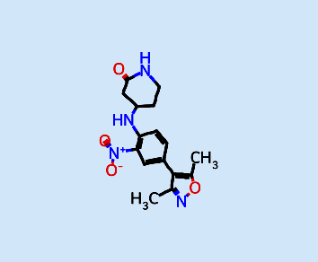 Cc1noc(C)c1-c1ccc(NC2CCNC(=O)C2)c([N+](=O)[O-])c1